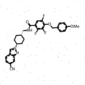 COc1ccc(COc2c(F)cc(C(=O)NC[C@H]3CC[C@H](n4cc5ccc(C#N)cc5n4)CC3)c(F)c2F)cc1